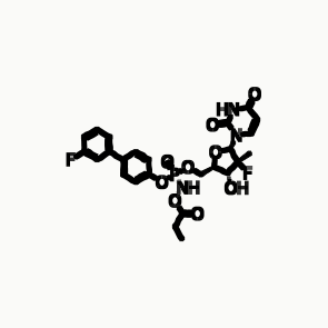 CCC(=O)ONP(=O)(OC[C@H]1O[C@@H](n2ccc(=O)[nH]c2=O)[C@](C)(F)[C@@H]1O)Oc1ccc(-c2cccc(F)c2)cc1